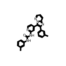 Cc1cccc(NC(=O)Nc2cc(-c3c(-c4cccc(C)c4)nc4cccnn34)ccn2)c1